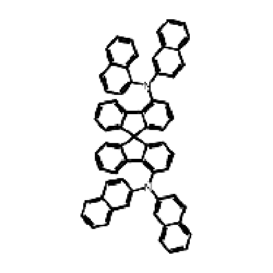 c1ccc2c(c1)-c1c(N(c3ccc4ccccc4c3)c3ccc4ccccc4c3)cccc1C21c2ccccc2-c2c(N(c3ccc4ccccc4c3)c3cccc4ccccc34)cccc21